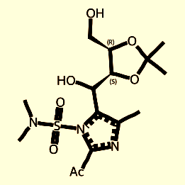 CC(=O)c1nc(C)c(C(O)[C@@H]2OC(C)(C)O[C@@H]2CO)n1S(=O)(=O)N(C)C